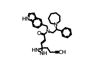 C#CCCC1(C=CC(=O)N(Cc2ccc3[nH]ccc3c2)CC(c2ccccc2)N2CCCCCC2)NN1